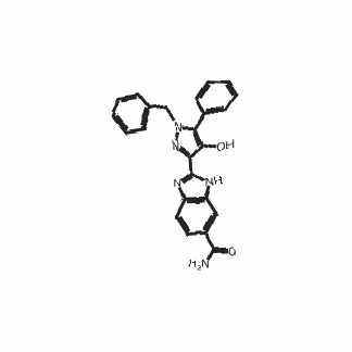 NC(=O)c1ccc2nc(-c3nn(Cc4ccccc4)c(-c4ccccc4)c3O)[nH]c2c1